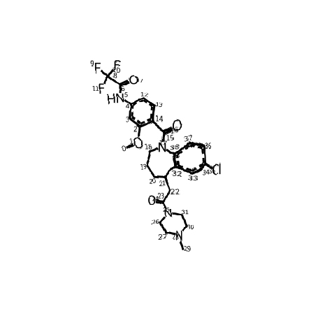 COc1cc(NC(=O)C(F)(F)F)ccc1C(=O)N1CCCC(CC(=O)N2CCN(C)CC2)c2cc(Cl)ccc21